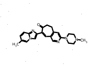 Cc1ccc2nc(C3=Cc4cnc(N5CCN(C)CC5)cc4CCC3=O)cn2c1